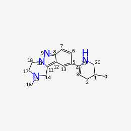 CC1CC=C(c2ccc3nn4c(c3c2)CN(C)CC4)NC1